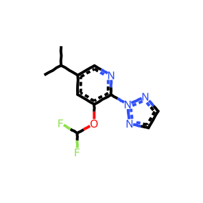 CC(C)c1cnc(-n2nccn2)c(OC(F)F)c1